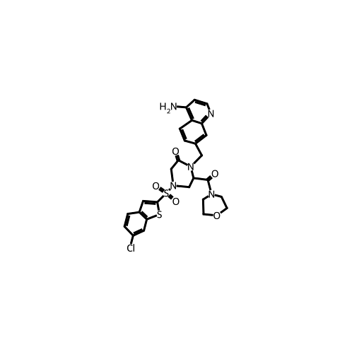 Nc1ccnc2cc(CN3C(=O)CN(S(=O)(=O)c4cc5ccc(Cl)cc5s4)CC3C(=O)N3CCOCC3)ccc12